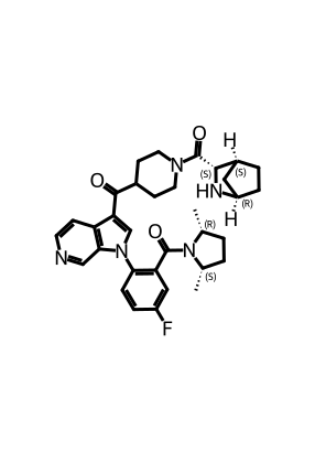 C[C@@H]1CC[C@H](C)N1C(=O)c1cc(F)ccc1-n1cc(C(=O)C2CCN(C(=O)[C@H]3N[C@@H]4CC[C@H]3C4)CC2)c2ccncc21